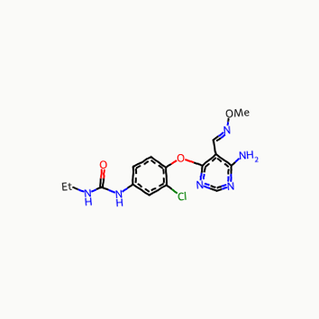 CCNC(=O)Nc1ccc(Oc2ncnc(N)c2C=NOC)c(Cl)c1